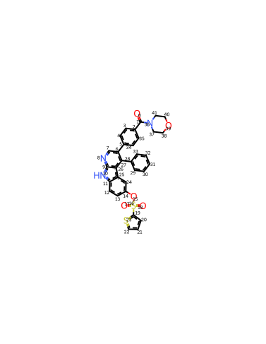 O=C(c1ccc(-c2cnc3[nH]c4ccc(OS(=O)(=O)c5cccs5)cc4c3c2-c2ccccc2)cc1)N1CCOCC1